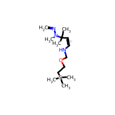 C=NN(C)C(C)(C)/C=C\NCOCC[Si](C)(C)C